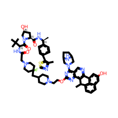 Cc1ncsc1-c1ccc([C@H](C)NC(=O)[C@@H]2C[C@@H](O)CN2C(=O)[C@@H](NC(=O)CN2CCC(F)(CC3CCN(CCOc4nc(N5CC6CCC(C5)N6)c5cnc6c(c5n4)C(C)c4cccc5cc(O)cc-6c45)CC3)CC2)C(C)(C)C)cc1